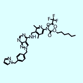 CCCCCCOC(=O)N(OC(=O)C(F)(F)F)c1cc(C)c(CNc2ncnc3nn(Cc4ccc(Cn5cccn5)cc4)cc23)c(C)n1